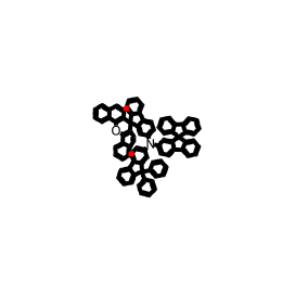 c1ccc(C2(c3ccccc3)c3ccccc3-c3ccc(N(c4ccc5c(c4)C4(c6ccccc6-c6ccccc64)c4ccccc4-5)c4ccc5c(c4)C4(c6ccccc6-5)c5ccc6ccccc6c5Oc5c4ccc4ccccc54)cc32)cc1